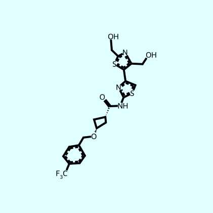 O=C(Nc1nc(-c2sc(CO)nc2CO)cs1)[C@H]1C[C@@H](OCc2ccc(C(F)(F)F)cc2)C1